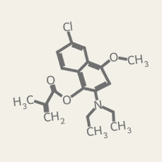 C=C(C)C(=O)Oc1c(N(CC)CC)cc(OC)c2cc(Cl)ccc12